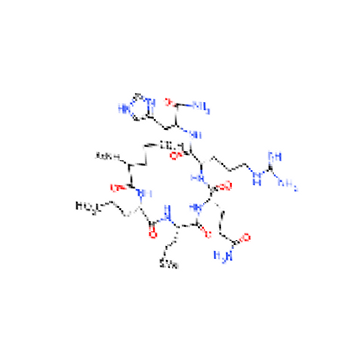 CSCC[C@H](NC(=O)[C@H](CCC(=O)O)NC(=O)[C@H](CCC(=O)O)NC(C)=O)C(=O)N[C@@H](CCC(N)=O)C(=O)N[C@@H](CCCNC(=N)N)C(=O)N[C@@H](Cc1c[nH]cn1)C(N)=O